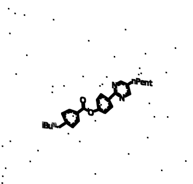 CCCCCc1cnc(-c2ccc(OC(=O)c3ccc(C[C@@H](C)CC)cc3)cc2)nc1